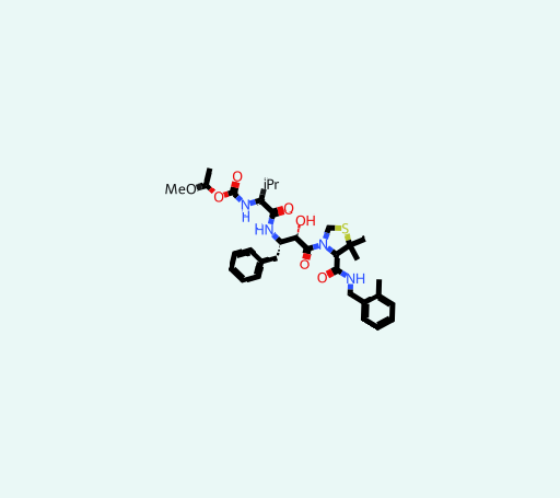 COC(C)OC(=O)NC(C(=O)N[C@@H](Cc1ccccc1)[C@H](O)C(=O)N1CSC(C)(C)C1C(=O)NCc1ccccc1C)C(C)C